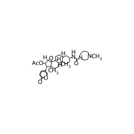 CC(=O)O[C@H]1[C@H]2O[C@]23[C@@H]2CC[C@@H]4C[C@@H](NC(=O)N5CCCN(C)CC5)CC[C@]4(C)[C@H]2CC[C@]3(C)[C@H]1c1ccc(=O)oc1